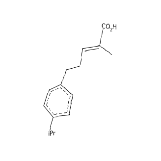 CC(=CCCc1ccc(C(C)C)cc1)C(=O)O